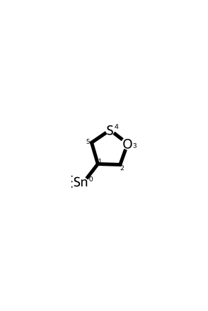 [Sn][CH]1COSC1